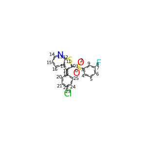 O=S(=O)(c1cccc(F)c1)c1sc2ncccc2c1-c1ccc(Cl)cc1